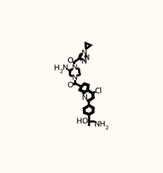 CC(O)(CN)c1ccc(-c2cc(Cl)c3ccc(C(=O)N4CCN(C(=O)c5cn(C6CC6)nn5)[C@H](N)C4)cc3n2)cc1